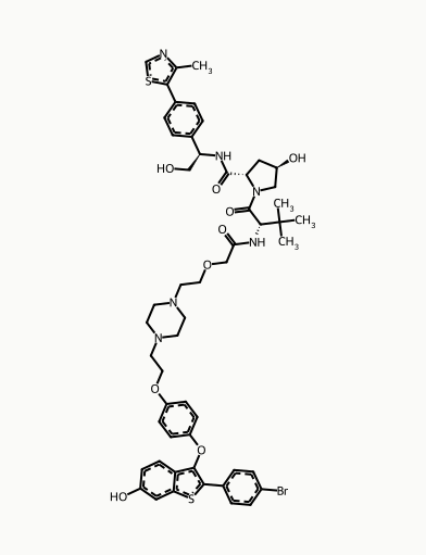 Cc1ncsc1-c1ccc([C@H](CO)NC(=O)[C@@H]2C[C@@H](O)CN2C(=O)[C@@H](NC(=O)COCCN2CCN(CCOc3ccc(Oc4c(-c5ccc(Br)cc5)sc5cc(O)ccc45)cc3)CC2)C(C)(C)C)cc1